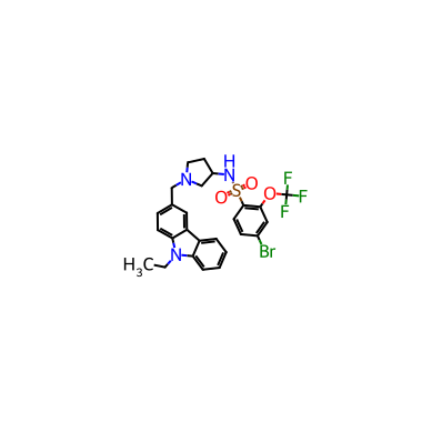 CCn1c2ccccc2c2cc(CN3CCC(NS(=O)(=O)c4ccc(Br)cc4OC(F)(F)F)C3)ccc21